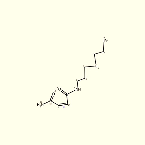 CC(C)CCOCCCNC(=O)/C=C\C(N)=O